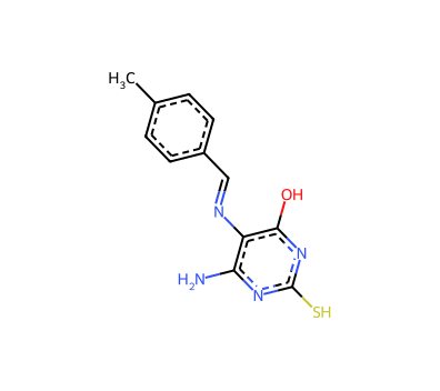 Cc1ccc(C=Nc2c(N)nc(S)nc2O)cc1